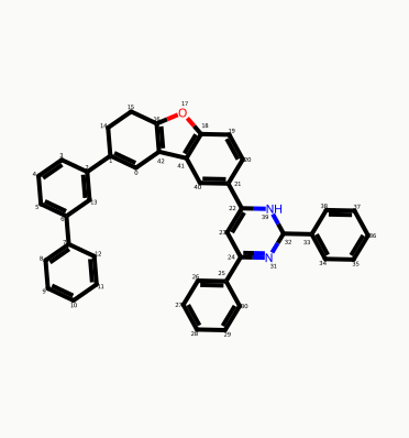 C1=C(c2cccc(-c3ccccc3)c2)CCc2oc3ccc(C4=CC(c5ccccc5)=NC(c5ccccc5)N4)cc3c21